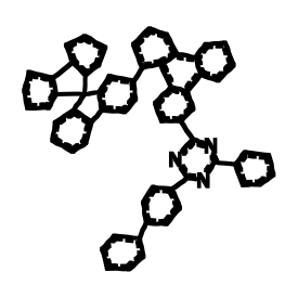 c1ccc(-c2ccc(-c3nc(-c4ccccc4)nc(-c4ccc5c(c4)c4ccccc4c4cccc(-c6ccc7c(c6)C6(c8ccccc8-c8ccccc86)c6ccccc6-7)c45)n3)cc2)cc1